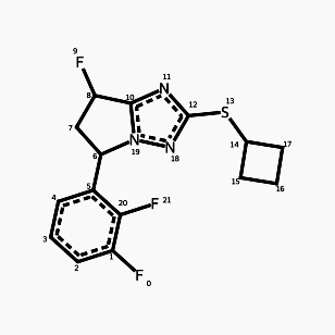 Fc1cccc(C2CC(F)c3nc(SC4CCC4)nn32)c1F